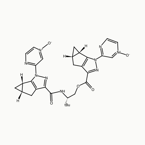 CC(C)(C)[C@@H](COC(=O)c1nn(-c2c[n+]([O-])ccn2)c2c1C[C@@H]1C[C@H]21)NC(=O)c1nn(-c2c[n+]([O-])ccn2)c2c1C[C@@H]1C[C@H]21